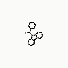 O=C(c1ccccc1)n1c2ccccc2c2ccccc21